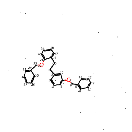 [CH](Cc1cccc(OCc2ccccc2)c1)c1ccccc1OCc1ccccc1